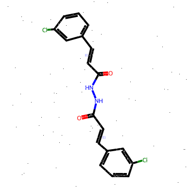 O=C(/C=C/c1cccc(Cl)c1)NNC(=O)/C=C/c1cccc(Cl)c1